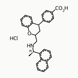 C[C@@H](NCC1CC(c2ccc(C(=O)O)cc2)c2ccccc2O1)c1cccc2ccccc12.Cl